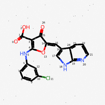 O=C(O)C1=C(Nc2cccc(Cl)c2)O/C(=C\c2c[nH]c3ncccc23)C1=O